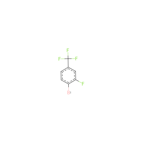 [B]c1ccc(C(F)(F)F)cc1F